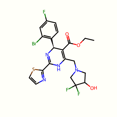 CCOC(=O)C1=C(CN2CC(O)C(F)(F)C2)NC(c2nccs2)=N[C@H]1c1ccc(F)cc1Br